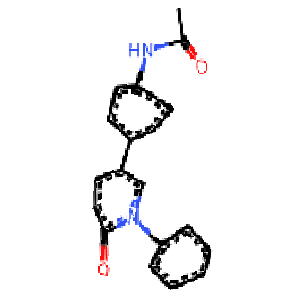 CC(=O)Nc1ccc(-c2ccc(=O)n(-c3ccccc3)c2)cc1